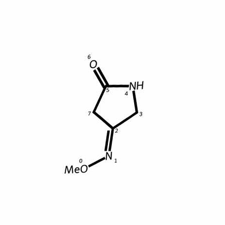 CON=C1CNC(=O)C1